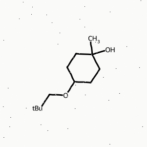 CC(C)(C)COC1CCC(C)(O)CC1